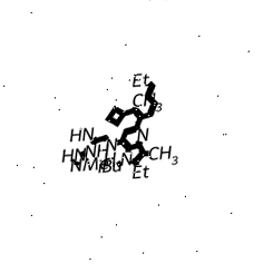 CC/C=C/C=C\C(=C(/C)C1CCC1)c1cc(NCC(=N)NNNC)c2c(n1)c(C)c(CC)n2C(C)CC